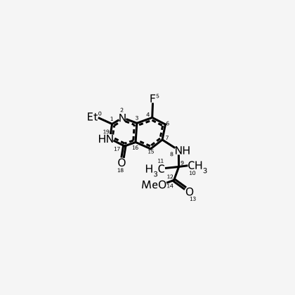 CCc1nc2c(F)cc(NC(C)(C)C(=O)OC)cc2c(=O)[nH]1